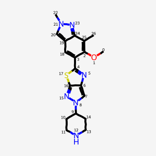 COc1c(-c2nc3cn(C4CCNCC4)nc3s2)cc2cn(C)nc2c1C